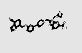 N#Cc1ccc(COc2cccc(C3=CCN(Cc4nc5ccc(C(=O)O)nc5n4C[C@@H]4CCO4)CC3)n2)c2occc12